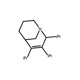 CC(C)C1=C(C(C)C)C(C(C)C)N2CCCC1C2